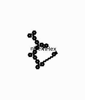 CCCCCCC1(CCCCCC)c2ccccc2-c2ccc(N(c3ccc(-c4ccc(N(c5ccccc5)c5ccccc5)cc4)cc3)c3ccc(-c4ccc(N(c5ccccc5)c5ccc(-c6ccc(N(c7ccccc7)c7cccc(CCCCCCCCc8ccc9c(c8)CC9)c7)cc6)cc5)cc4)cc3)cc21